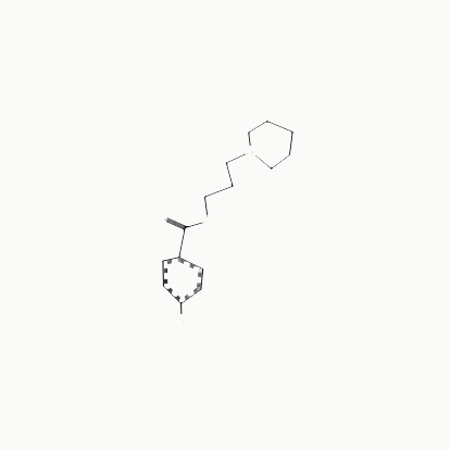 Nc1ccc(C(=O)OCCCN2CCCCC2)cc1